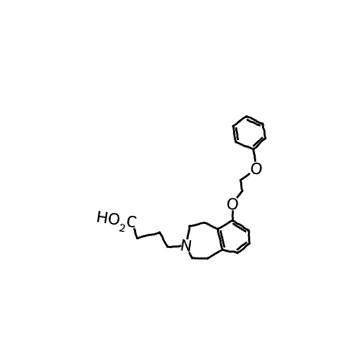 O=C(O)CCCN1CCc2cccc(OCCOc3ccccc3)c2CC1